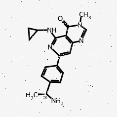 C[C@H](N)c1ccc(-c2cc3ncn(C)c(=O)c3c(NC3CC3)n2)cc1